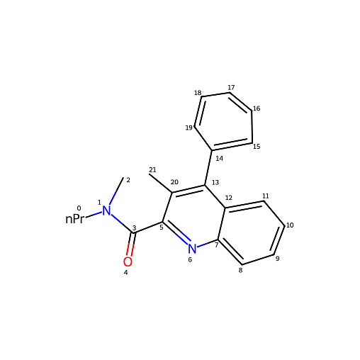 CCCN(C)C(=O)c1nc2ccccc2c(-c2ccccc2)c1C